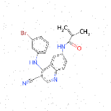 C=C(C)C(=O)Nc1ccc2ncc(C#N)c(Nc3cccc(Br)c3)c2c1